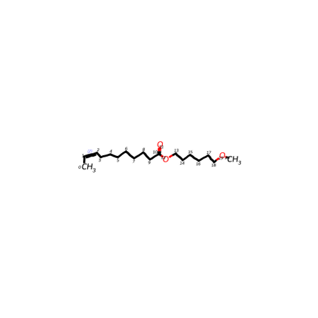 C/C=C\CCCCCCCC(=O)OCCCCCCOC